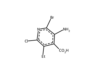 CCc1c(Cl)nc(Br)c(N)c1C(=O)O